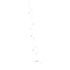 CNCCOCCOCCOCC(O)COC(C)C